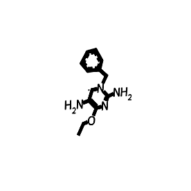 CCOC1=C(N)[CH]N(Cc2ccccc2)C(N)=N1